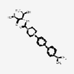 C[C@@H](O)[C@H](NC(=O)N1CCN(c2ccc(-c3ccc(N(C)C)cc3)cc2)CC1)C(=O)NO